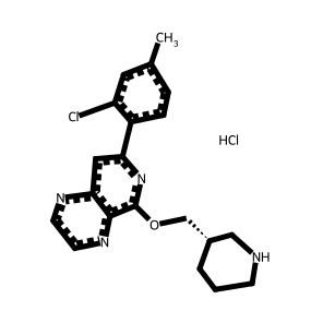 Cc1ccc(-c2cc3nccnc3c(OC[C@H]3CCCNC3)n2)c(Cl)c1.Cl